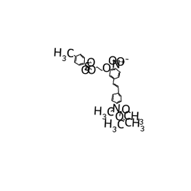 Cc1ccc(S(=O)(=O)OCCOc2cc(/C=C/c3ccc(N(C)C(=O)OC(C)(C)C)cc3)ccc2[N+](=O)[O-])cc1